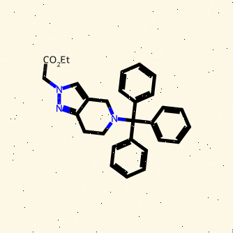 CCOC(=O)Cn1cc2c(n1)CCN(C(c1ccccc1)(c1ccccc1)c1ccccc1)C2